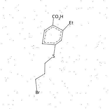 CCc1cc(SCCCBr)ccc1C(=O)O